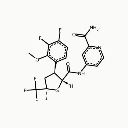 [2H][C@@]1(C(=O)Nc2ccnc(C(N)=O)c2)S[C@@](C)(C(F)(F)F)C[C@H]1c1ccc(F)c(F)c1OC